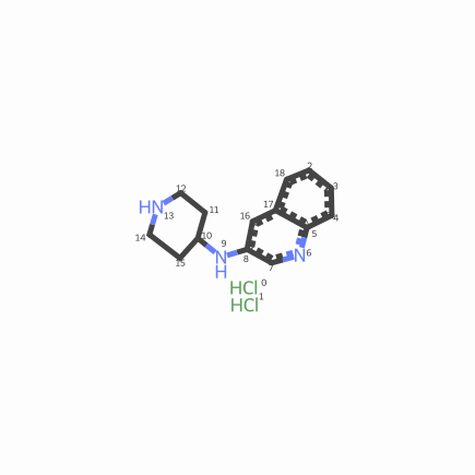 Cl.Cl.c1ccc2ncc(NC3CCNCC3)cc2c1